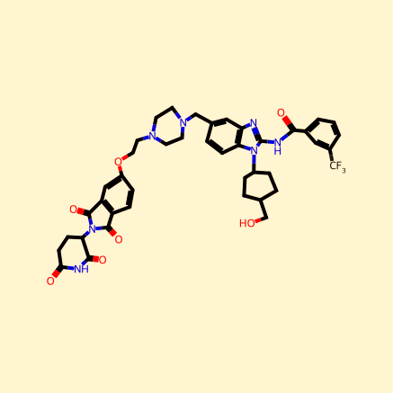 O=C1CCC(N2C(=O)c3ccc(OCCN4CCN(Cc5ccc6c(c5)nc(NC(=O)c5cccc(C(F)(F)F)c5)n6C5CCC(CO)CC5)CC4)cc3C2=O)C(=O)N1